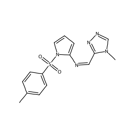 Cc1ccc(S(=O)(=O)n2cccc2/N=C\c2nncn2C)cc1